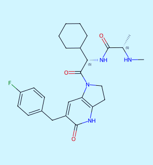 CN[C@@H](C)C(=O)N[C@H](C(=O)N1CCc2[nH]c(=O)c(Cc3ccc(F)cc3)cc21)C1CCCCC1